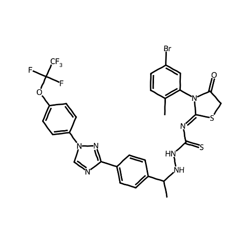 Cc1ccc(Br)cc1N1C(=O)CS/C1=N\C(=S)NNC(C)c1ccc(-c2ncn(-c3ccc(OC(F)(F)C(F)(F)F)cc3)n2)cc1